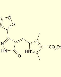 CCOC(=O)c1c(C)[nH]c(C=C2C(=O)NN=C2c2ccno2)c1C